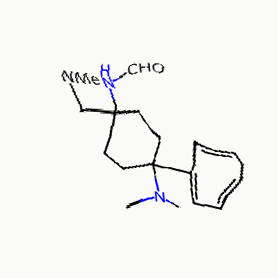 CNCC1(NC=O)CCC(c2ccccc2)(N(C)C)CC1